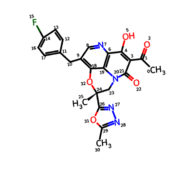 CC(=O)c1c(O)c2ncc(Cc3ccc(F)cc3)c3c2n(c1=O)C[C@](C)(c1nnc(C)o1)O3